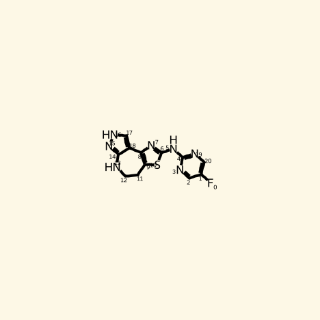 Fc1cnc(Nc2nc3c(s2)CCNc2n[nH]cc2-3)nc1